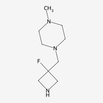 CN1CCN(CC2(F)CNC2)CC1